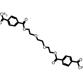 CC(=O)c1ccc(C(=O)OCCOCCOCCOC(=O)c2ccc(C(C)=O)cc2)cc1